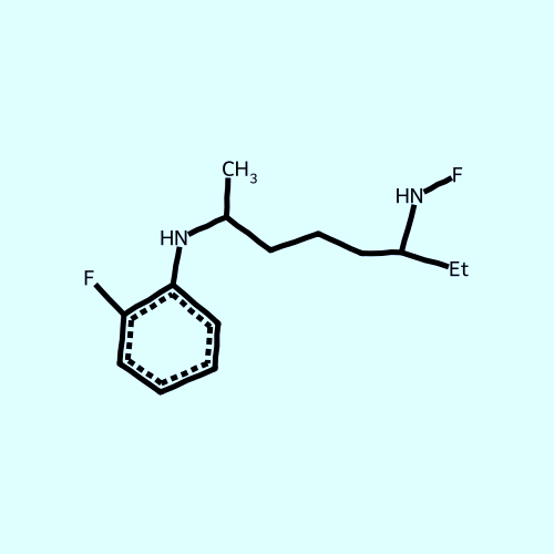 CCC(CCCC(C)Nc1ccccc1F)NF